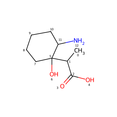 CC(C(=O)O)C1(O)CCCCC1N